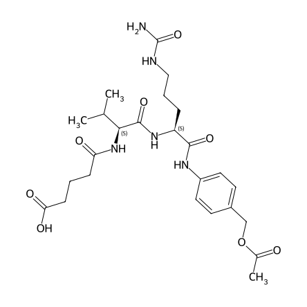 CC(=O)OCc1ccc(NC(=O)[C@H](CCCNC(N)=O)NC(=O)[C@@H](NC(=O)CCCC(=O)O)C(C)C)cc1